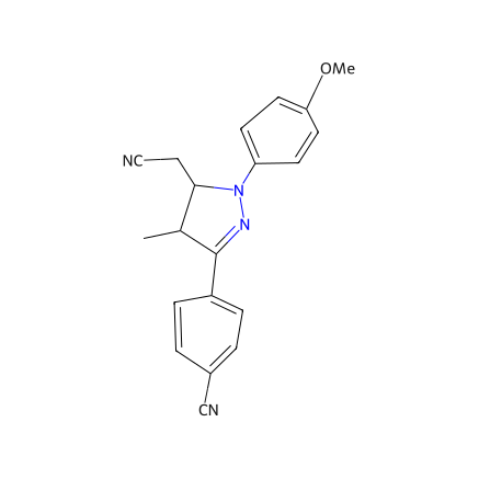 COc1ccc(N2N=C(c3ccc(C#N)cc3)C(C)C2CC#N)cc1